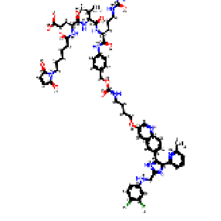 Cc1cccc(-c2nc(CNc3ccc(F)c(F)c3)[nH]c2-c2ccc3ncc(OCCCCNC(=O)OCc4ccc(NC(=O)[C@H](CCCNC(N)=O)NC(=O)[C@@H](NC(=O)[C@H](CCC(=O)O)NC(=O)CCCCCN5C(=O)C=CC5=O)C(C)C)cc4)cc3c2)n1